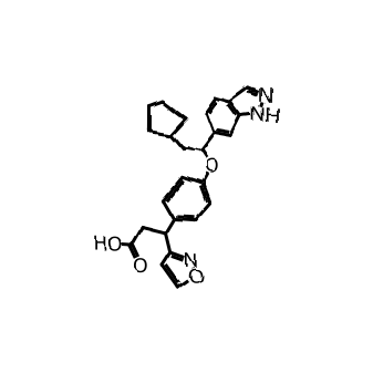 O=C(O)CC(c1ccc(O[C@@H](CC2CCCC2)c2ccc3cn[nH]c3c2)cc1)c1ccon1